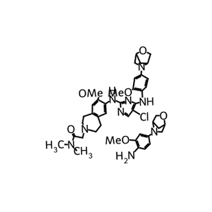 COc1cc(N2CC3CC2CO3)ccc1N.COc1cc2c(cc1Nc1ncc(Cl)c(Nc3ccc(N4CC5CC4CO5)cc3OC)n1)CCN(CC(=O)N(C)C)CC2